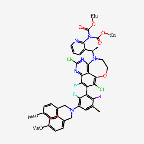 COc1ccc(CN(Cc2ccc(OC)cc2)c2cc(C)c(I)c(-c3c(Cl)c4c5c(nc(Cl)nc5c3F)N([C@H](C)c3cccnc3N(C(=O)OC(C)(C)C)C(=O)OC(C)(C)C)CCO4)c2F)cc1